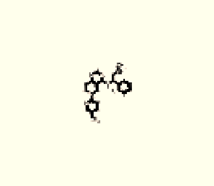 CNCC(c1ccccc1)N(C)c1ncnc2c1CN(c1ccc(C)cn1)CC2